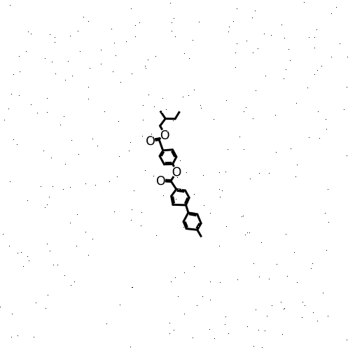 CCC(C)COC(=O)c1ccc(OC(=O)c2ccc(-c3ccc(C)cc3)cc2)cc1